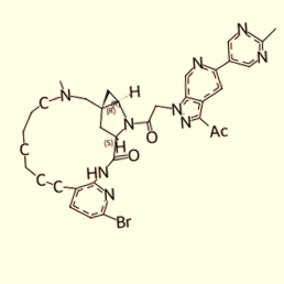 CC(=O)c1nn(CC(=O)N2[C@H]3C[C@]4(C[C@@H]24)CN(C)CCCCCCCc2ccc(Br)nc2NC3=O)c2cnc(-c3cnc(C)nc3)cc12